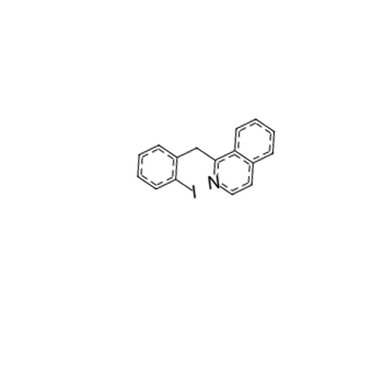 Ic1ccccc1Cc1nccc2ccccc12